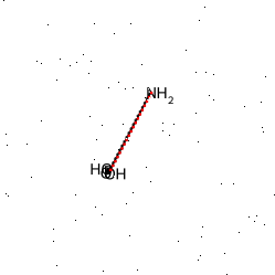 NCCCCCCCCCCCCCCCCCCCCCCCCCCCCCCCCCCCCP(=O)(O)O